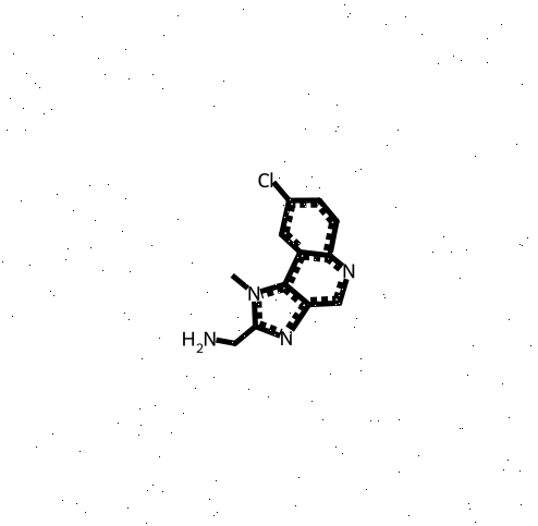 Cn1c(CN)nc2cnc3ccc(Cl)cc3c21